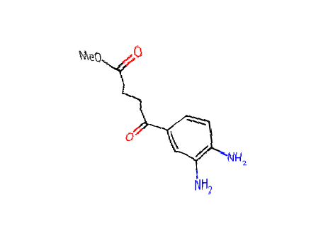 COC(=O)CCC(=O)c1ccc(N)c(N)c1